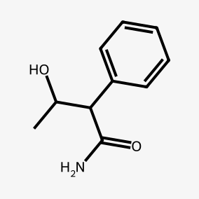 CC(O)C(C(N)=O)c1ccccc1